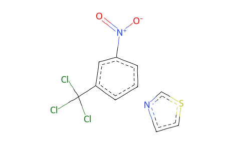 O=[N+]([O-])c1cccc(C(Cl)(Cl)Cl)c1.c1cscn1